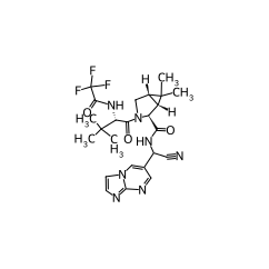 CC(C)(C)[C@H](NC(=O)C(F)(F)F)C(=O)N1C[C@H]2[C@@H]([C@H]1C(=O)NC(C#N)c1cnc3nccn3c1)C2(C)C